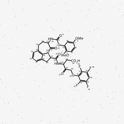 COc1ccc(OC)c(OC(=O)NC2CCc3cccc4c3N(C2=O)C(C(=O)NC(CC(=O)O)C(=O)COc2c(F)c(F)cc(F)c2F)C4)c1